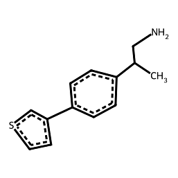 CC(CN)c1ccc(-c2ccsc2)cc1